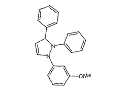 COc1cccc(N2C=CC(c3ccccc3)N2c2ccccc2)c1